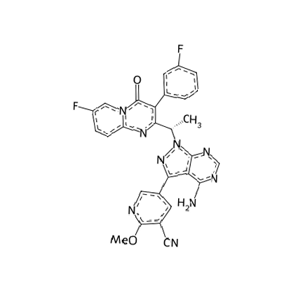 COc1ncc(-c2nn([C@@H](C)c3nc4ccc(F)cn4c(=O)c3-c3cccc(F)c3)c3ncnc(N)c23)cc1C#N